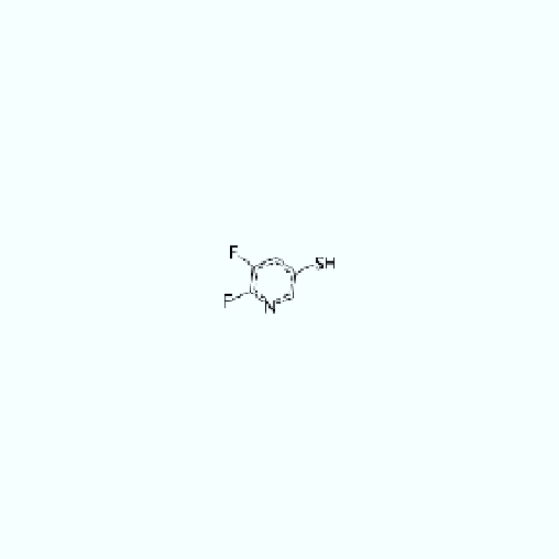 Fc1cc(S)cnc1F